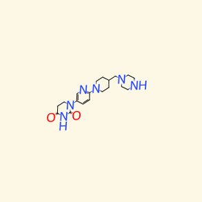 O=C1CCN(c2ccc(N3CCC(CN4CCNCC4)CC3)nc2)C(=O)N1